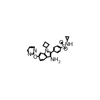 Nc1c(-c2ccc(S(=O)(=O)NC3CC3)cc2)n(C2CCC2)c2cc(Oc3ncccn3)ccc12